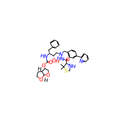 CC1(C)SCNC1C(=O)NN(Cc1ccc(-c2ccccn2)cc1)C[C@H](O)[C@H](Cc1ccccc1)NC(=O)O[C@H]1CO[C@H]2OCC[C@H]21